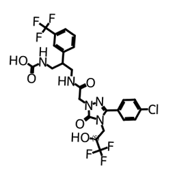 O=C(O)NCC(CNC(=O)Cn1nc(-c2ccc(Cl)cc2)n(C[C@H](O)C(F)(F)F)c1=O)c1cccc(C(F)(F)F)c1